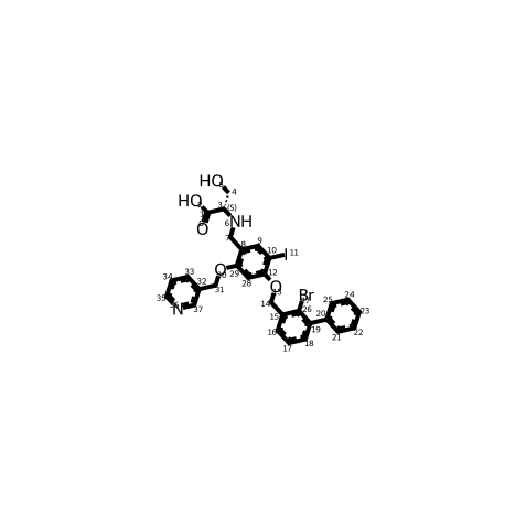 O=C(O)[C@H](CO)NCc1cc(I)c(OCc2cccc(-c3ccccc3)c2Br)cc1OCc1cccnc1